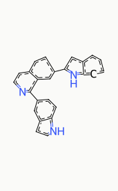 c1ccc2[nH]c(-c3ccc4ccnc(-c5ccc6[nH]ccc6c5)c4c3)cc2c1